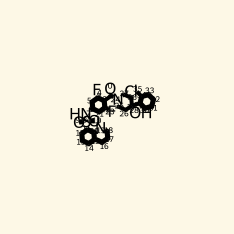 O=C(c1c(F)cc(NS(=O)(=O)c2cccc3cccnc23)cc1F)N1CCC(O)(c2ccccc2Cl)CC1